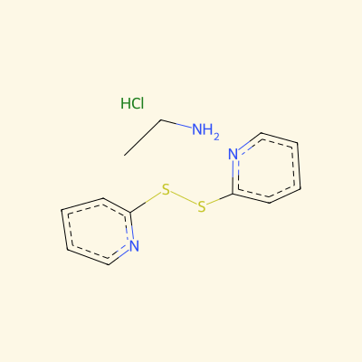 CCN.Cl.c1ccc(SSc2ccccn2)nc1